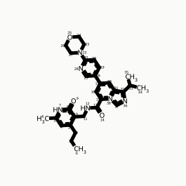 CCCc1cc(C)[nH]c(=O)c1CNC(=O)c1cc(-c2ccc(N3CCOCC3)nc2)cc2c(C(C)C)ncn12